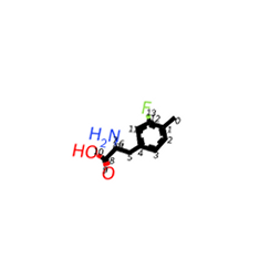 Cc1ccc(C[C@@H](N)C(=O)O)cc1F